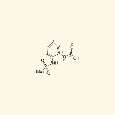 CC(C)(C)S(=O)(=O)Nc1ccccc1OB(O)O